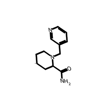 NC(=O)C1C[CH]CCN1Cc1cccnc1